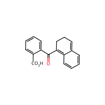 O=C(O)c1ccccc1C(=O)C1=c2ccccc2=CCC1